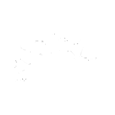 C=C(c1ccc(OC)cc1)C1COC2(CCC(Nc3ccc(NC(C)=O)cc3)CC2)OO1